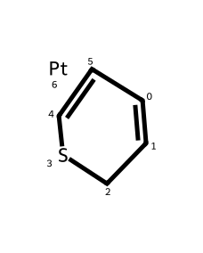 C1=CCSC=C1.[Pt]